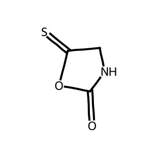 O=C1NCC(=S)O1